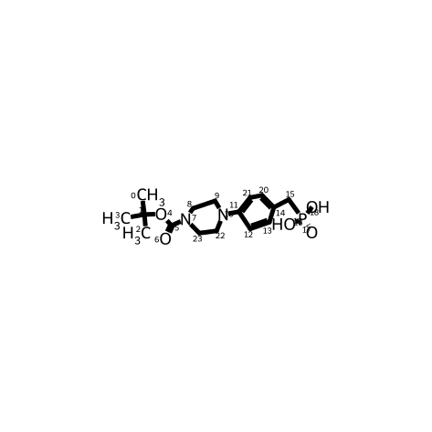 CC(C)(C)OC(=O)N1CCN(c2ccc(CP(=O)(O)O)cc2)CC1